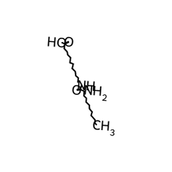 CCCCCCCCCCC(N)C(=O)NCCCCCCCCCCCC(=O)O